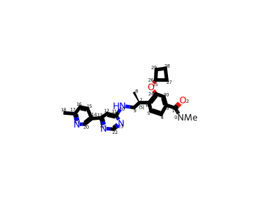 CNC(=O)c1ccc([C@H](C)CNc2cc(-c3ccc(C)nc3)ncn2)c(OC2CCC2)c1